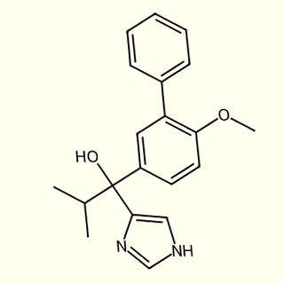 COc1ccc(C(O)(c2c[nH]cn2)C(C)C)cc1-c1ccccc1